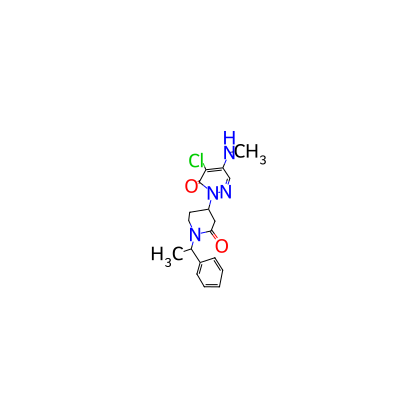 CNc1cnn(C2CCN(C(C)c3ccccc3)C(=O)C2)c(=O)c1Cl